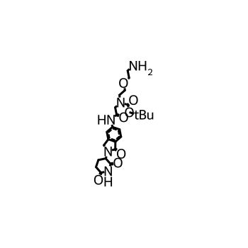 CC(C)(C)OC(=O)N(CCOCCN)CC(=O)Nc1ccc2c(c1)CN(C1CCC(=O)NC1=O)C2=O